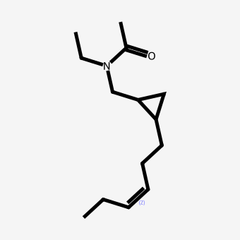 CC/C=C\CCC1CC1CN(CC)C(C)=O